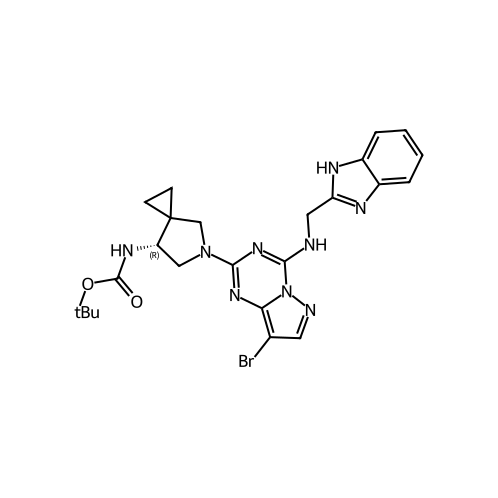 CC(C)(C)OC(=O)N[C@H]1CN(c2nc(NCc3nc4ccccc4[nH]3)n3ncc(Br)c3n2)CC12CC2